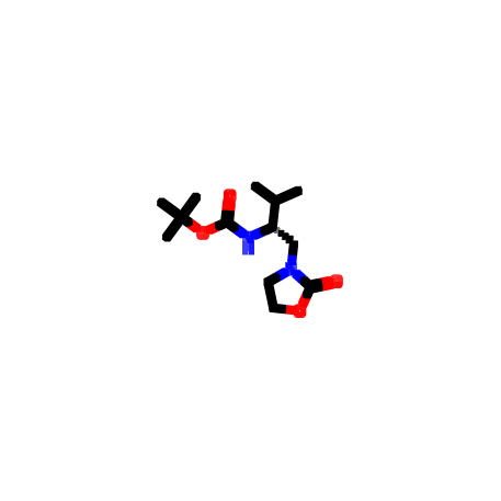 CC(C)[C@H](CN1CCOC1=O)NC(=O)OC(C)(C)C